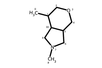 CC1COCC2CN(C)CC12